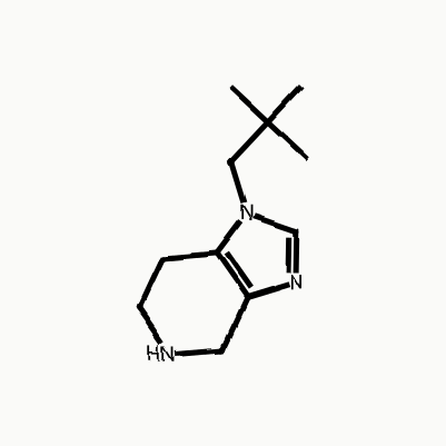 CC(C)(C)Cn1cnc2c1CCNC2